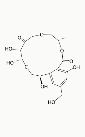 C[C@H]1CCCC(=O)[C@@H](O)[C@@H](O)CC[C@H](O)c2cc(CO)cc(O)c2C(=O)O1